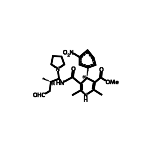 COC(=O)C1=C(C)NC(C)=C(C(=O)NC([C@@H](C)CC=O)N2CCCC2)[C@@H]1c1cccc([N+](=O)[O-])c1